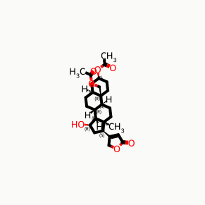 CC(=O)OC[C@]12CC[C@H](OC(C)=O)C[C@@H]1CC[C@H]1[C@H]3[C@H](O)C[C@H](C4=CC(=O)OC4)[C@@]3(C)CC[C@@H]12